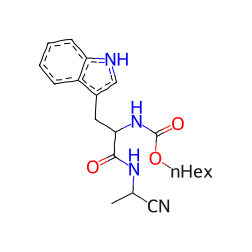 CCCCCCOC(=O)NC(Cc1c[nH]c2ccccc12)C(=O)NC(C)C#N